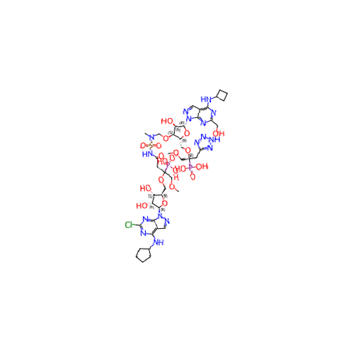 COCC(CC(=O)NS(=O)(=O)N(C)CO[C@H]1[C@@H](O)[C@H](n2ncc3c(NC4CCC4)nc(CO)nc32)O[C@@H]1CO[C@](COC)(Cc1nn[nH]n1)P(=O)(O)O)(OC[C@H]1O[C@@H](n2ncc3c(NC4CCCC4)nc(Cl)nc32)[C@H](O)[C@@H]1O)P(=O)(O)O